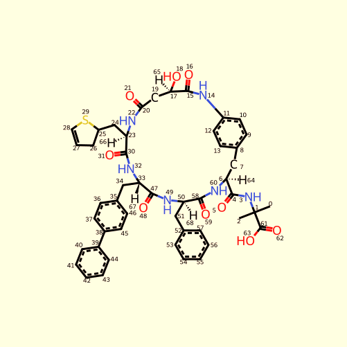 CC(C)(NC(=O)[C@@H]1Cc2ccc(cc2)NC(=O)[C@H](O)CC(=O)N[C@H](CC2CC=CS2)C(=O)N[C@@H](Cc2ccc(-c3ccccc3)cc2)C(=O)N[C@H](Cc2ccccc2)C(=O)N1)C(=O)O